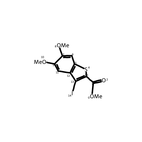 COC(=O)c1sc2cc(OC)c(OC)cc2c1I